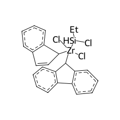 CC[SiH](Cl)[Zr]([Cl])([Cl])([CH]1C=Cc2ccccc21)[CH]1c2ccccc2-c2ccccc21